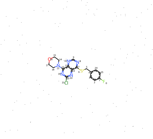 Fc1ccc(CSc2ncnc3c(N4CCOCC4)nc(Cl)nc23)cc1